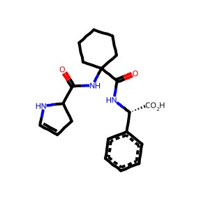 O=C(NC1(C(=O)N[C@H](C(=O)O)c2ccccc2)CCCCC1)C1CC=CN1